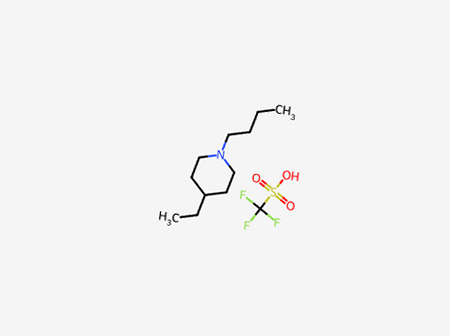 CCCCN1CCC(CC)CC1.O=S(=O)(O)C(F)(F)F